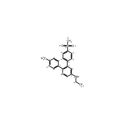 Cc1ccc(-c2ncc(NCC(F)(F)F)cc2-c2ccc(S(C)(=O)=O)cc2)cn1